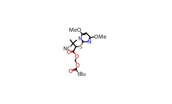 COc1cc(OC)nc(SC(C(=O)OCOC(=O)C(C)(C)C)C(C)(C)C#N)n1